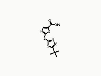 CC(C)(C)c1nnc(Sc2ncc(C(=O)O)s2)s1